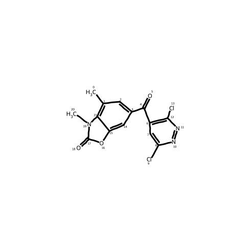 Cc1cc(C(=O)c2cc(Cl)nnc2Cl)cc2oc(=O)n(C)c12